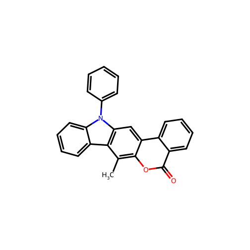 Cc1c2oc(=O)c3ccccc3c2cc2c1c1ccccc1n2-c1ccccc1